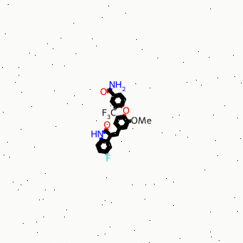 COc1cc(C=C2C(=O)Nc3ccc(F)cc32)ccc1Oc1ccc(C(N)=O)cc1C(F)(F)F